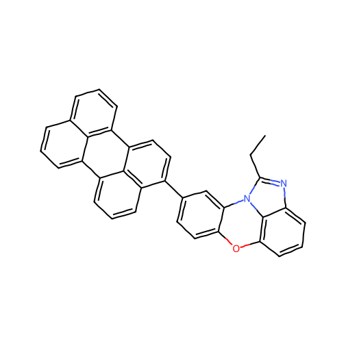 CCc1nc2cccc3c2n1-c1cc(-c2ccc4c5cccc6cccc(c7cccc2c74)c65)ccc1O3